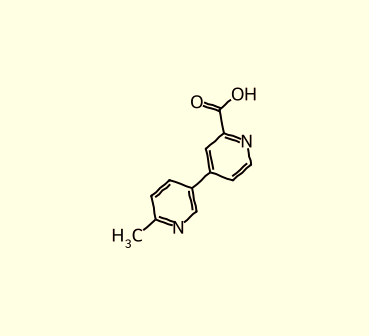 Cc1ccc(-c2ccnc(C(=O)O)c2)cn1